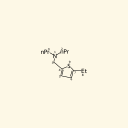 CCCN(CCC)Cc1ccc(CC)s1